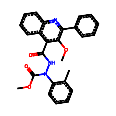 COC(=O)N(NC(=O)c1c(OC)c(-c2ccccc2)nc2ccccc12)c1ccccc1C